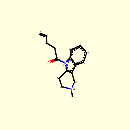 C=CCCC(=O)n1c2c(c3ccccc31)CN(C)CC2